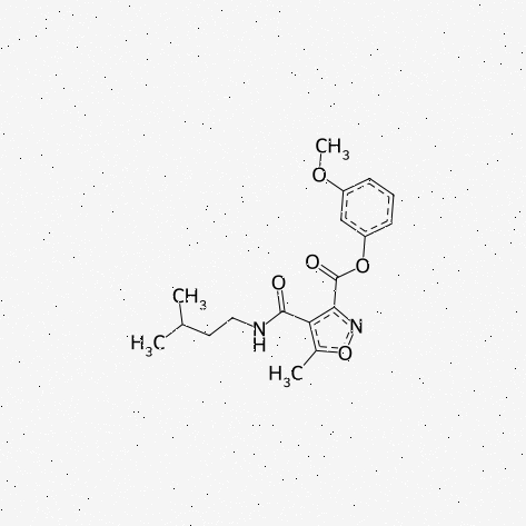 COc1cccc(OC(=O)c2noc(C)c2C(=O)NCCC(C)C)c1